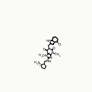 CN1C(=O)C(Cc2cc3c(Cl)cccc3[nH]2)C(=O)c2c1nc(NCC1CCC[C@@H]1N)n2C